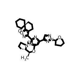 C[C@H](Oc1cc(-c2cnn(C3CCCCO3)n2)nc(-c2noc3c2CCC[C@@]32CCCCC2=O)n1)[C@@H]1CCCN1C